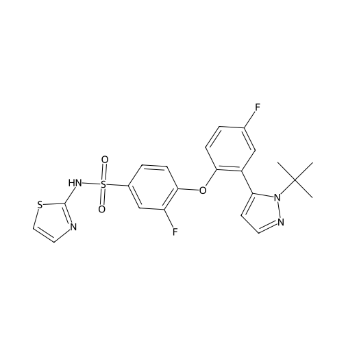 CC(C)(C)n1nccc1-c1cc(F)ccc1Oc1ccc(S(=O)(=O)Nc2nccs2)cc1F